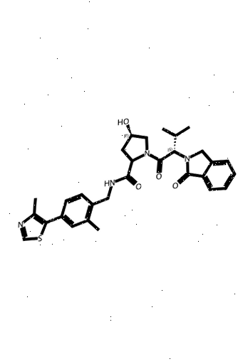 Cc1cc(-c2scnc2C)ccc1CNC(=O)C1C[C@@H](O)CN1C(=O)[C@H](C(C)C)N1Cc2ccccc2C1=O